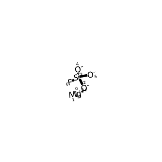 [Li+].[Mg+2].[O-][Si]([O-])([O-])F